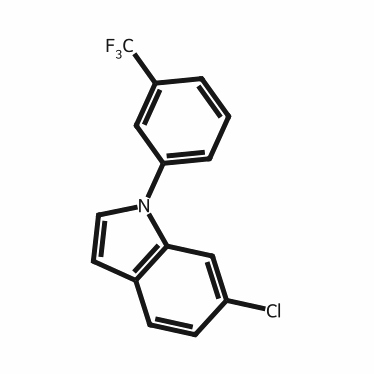 FC(F)(F)c1cccc(-n2ccc3ccc(Cl)cc32)c1